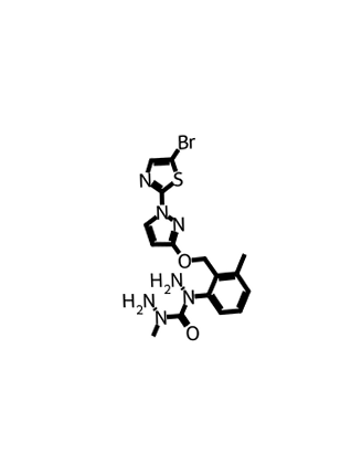 Cc1cccc(N(N)C(=O)N(C)N)c1COc1ccn(-c2ncc(Br)s2)n1